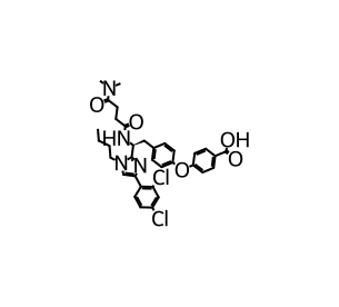 CCCCn1cc(-c2ccc(Cl)cc2Cl)nc1[C@H](Cc1ccc(Oc2ccc(C(=O)O)cc2)cc1)NC(=O)CCC(=O)N(C)C